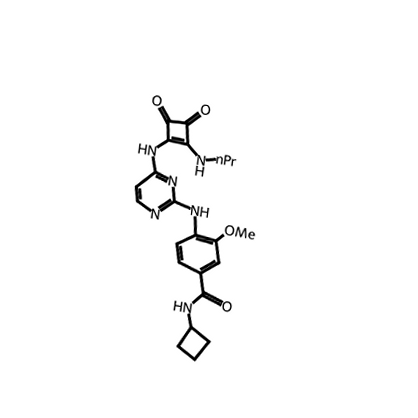 CCCNc1c(Nc2ccnc(Nc3ccc(C(=O)NC4CCC4)cc3OC)n2)c(=O)c1=O